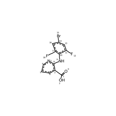 O=C(O)c1cccnc1Nc1c(F)cc(Br)cc1F